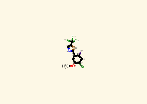 COc1cc(-c2ncc(C(F)(F)F)s2)c(I)cc1Br